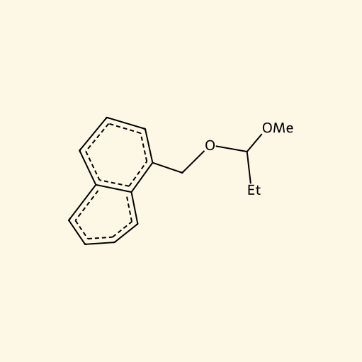 [CH2]OC(CC)OCc1cccc2ccccc12